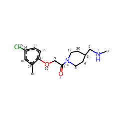 CNCC1CCN(C(=O)COc2ccc(Cl)cc2C)CC1